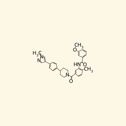 COc1cccc(C(=O)Nc2cc(C(=O)N3CCC(c4ccc(-c5cnn(C)c5)cc4)CC3)ccc2C)c1